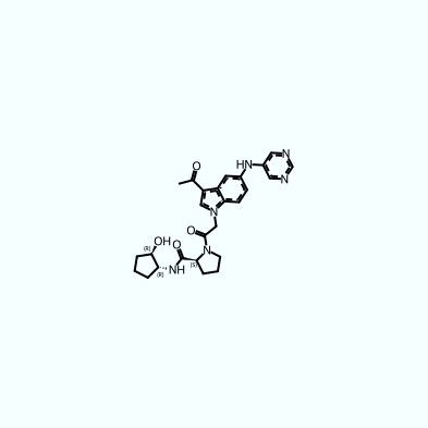 CC(=O)c1cn(CC(=O)N2CCC[C@H]2C(=O)N[C@@H]2CCC[C@H]2O)c2ccc(Nc3cncnc3)cc12